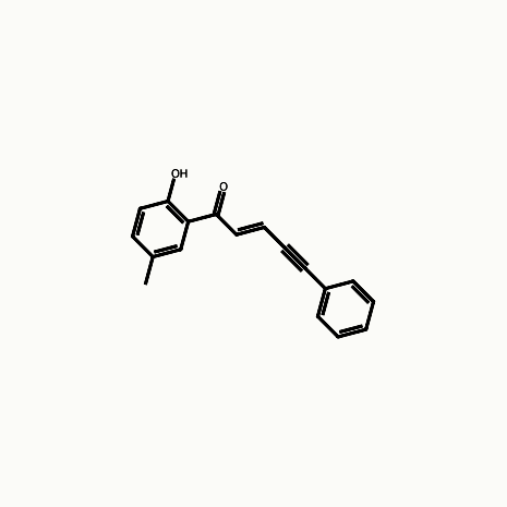 Cc1ccc(O)c(C(=O)C=CC#Cc2ccccc2)c1